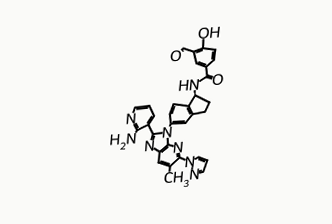 Cc1cc2nc(-c3cccnc3N)n(-c3ccc4c(c3)CC[C@@H]4NC(=O)c3ccc(O)c(C=O)c3)c2nc1-n1cccn1